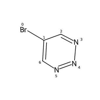 Brc1cnnnc1